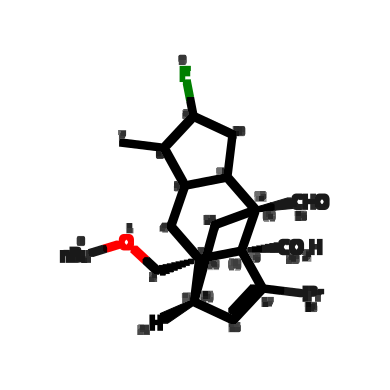 CCCCOC[C@@]12CC3C(C)C(F)CC3[C@@]3(C=O)C[C@@H]1C=C(C(C)C)[C@@]23C(=O)O